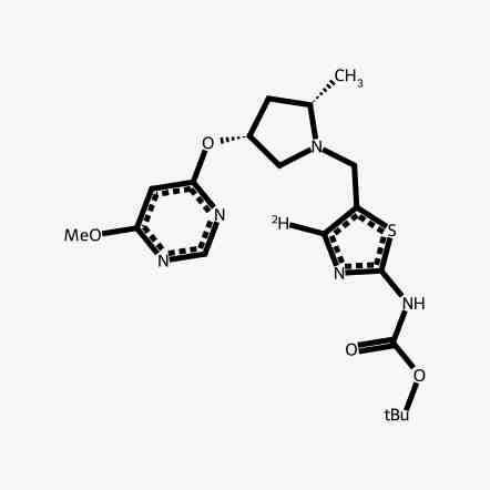 [2H]c1nc(NC(=O)OC(C)(C)C)sc1CN1C[C@H](Oc2cc(OC)ncn2)C[C@@H]1C